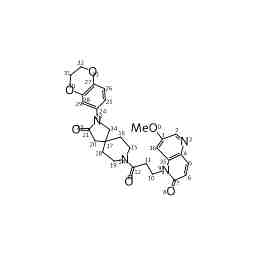 COc1cnc2ccc(=O)n(CCC(=O)N3CCC4(CC3)CC(=O)N(c3ccc5c(c3)OCCO5)C4)c2c1